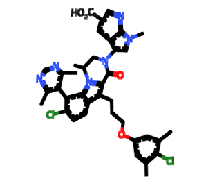 Cc1cc(OCCCc2c3n(c4c(-c5c(C)ncnc5C)c(Cl)ccc24)C(C)CN(c2cn(C)c4ncc(C(=O)O)cc24)C3=O)cc(C)c1Cl